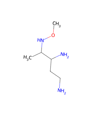 CONC(C)C(N)CCN